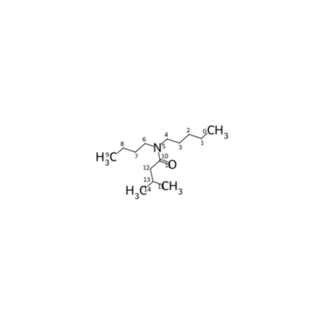 CCCCCN(CCCC)C(=O)CC(C)C